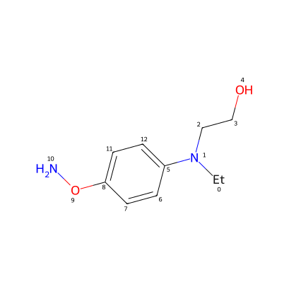 CCN(CCO)c1ccc(ON)cc1